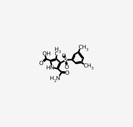 Cc1cc(C)cc(S(=O)(=O)c2c(C(N)=O)[nH]c(C(=O)O)c2C)c1